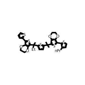 CCCc1ccsc1-c1sc(C(C)(C)c2ccc(C(C)(CC)c3sc(-c4cccs4)c4c3OCCO4)s2)c2c1OCCO2